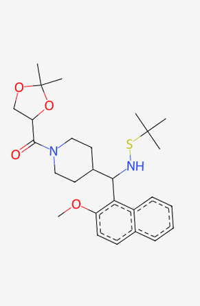 COc1ccc2ccccc2c1C(NSC(C)(C)C)C1CCN(C(=O)C2COC(C)(C)O2)CC1